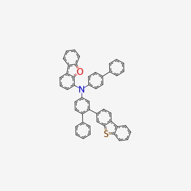 c1ccc(-c2ccc(N(c3ccc(-c4ccccc4)c(-c4ccc5c(c4)sc4ccccc45)c3)c3cccc4c3oc3ccccc34)cc2)cc1